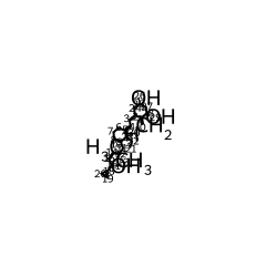 C=C1/C(=C\C=C2/CCC[C@]3(C)[C@@H]([C@H](C)/C=C\[C@@H](O)C4CC4)CC[C@@H]23)C[C@@H](O)C[C@@H]1O